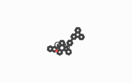 O=P1(c2ccc3ccccc3c2)c2ccccc2-c2c3c(n(-c4ccc(-c5ccc6c7ccccc7c7ccccc7c6c5)cc4)c2-c2ccccc21)CCC=C3